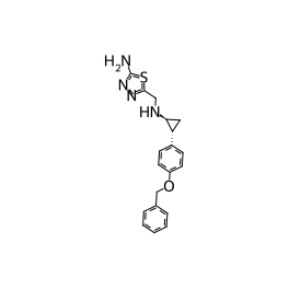 Nc1nnc(CN[C@H]2C[C@@H]2c2ccc(OCc3ccccc3)cc2)s1